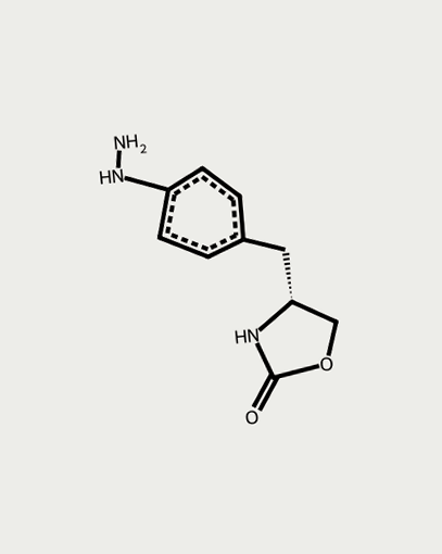 NNc1ccc(C[C@@H]2COC(=O)N2)cc1